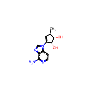 C[C@@H]1C=C(n2cnc3c(N)nccc32)[C@@H](O)[C@H]1O